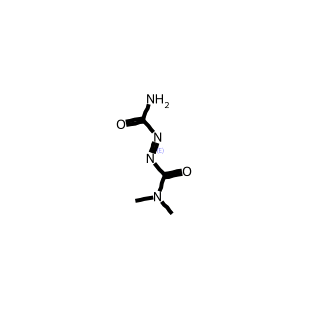 CN(C)C(=O)/N=N/C(N)=O